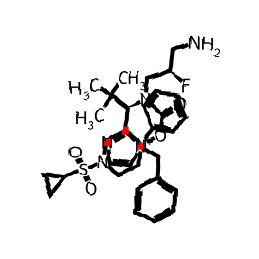 CC(C)(C)[C@H](C1=NC=C[N+]1(Cc1ccccc1)c1ccccc1)N(C[C@H](F)CN)C(=O)ON1CCN(S(=O)(=O)C2CC2)CC1